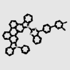 Cc1ccc(-c2ccc(-c3nc(-n4c5ccccc5c5c6cccc7c8cccc9c8c(cc8c9c9ccccc9n8-c8ccccc8)c(cc54)c76)nc4ccccc34)cc2)cc1C